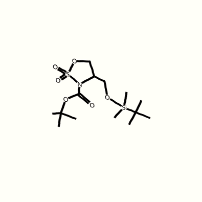 CC(C)(C)OC(=O)N1C(CO[Si](C)(C)C(C)(C)C)COS1(=O)=O